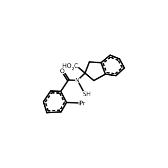 CC(C)c1ccccc1C(=O)N(S)C1(C(=O)O)Cc2ccccc2C1